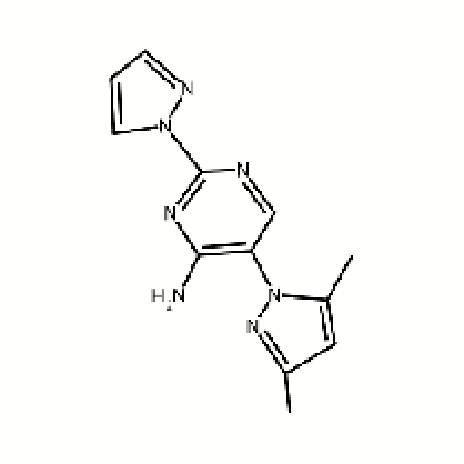 Cc1cc(C)n(-c2cnc(-n3cccn3)nc2N)n1